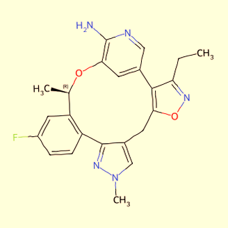 CCc1noc2c1-c1cnc(N)c(c1)O[C@H](C)c1cc(F)ccc1-c1nn(C)cc1C2